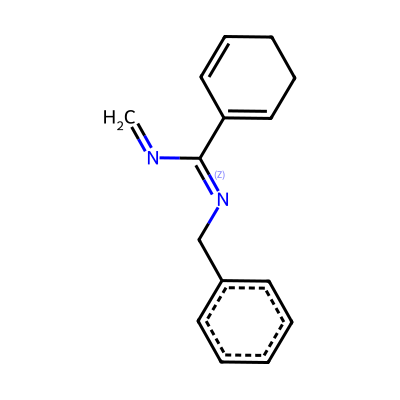 C=N/C(=N\Cc1ccccc1)C1=CCCC=C1